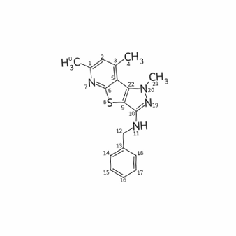 Cc1cc(C)c2c(n1)sc1c(NCc3ccccc3)nn(C)c12